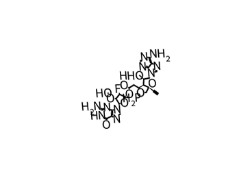 C#C[C@]1(COP)O[C@@H](n2cnc3c(N)ncnc32)[C@H](O)[C@@H]1CCC(O)OC1O[C@@H](n2cnc3c(=O)[nH]c(N)nc32)[C@H](OO)[C@H]1F